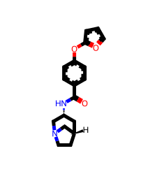 O=C(N[C@@H]1C[C@@H]2CCN(C2)C1)c1ccc(Oc2ccco2)cc1